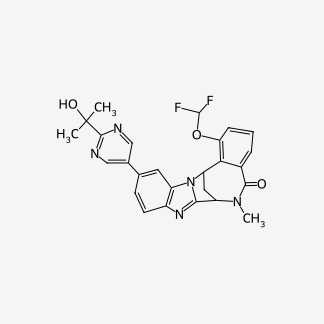 CN1C(=O)c2cccc(OC(F)F)c2C2CC1c1nc3ccc(-c4cnc(C(C)(C)O)nc4)cc3n12